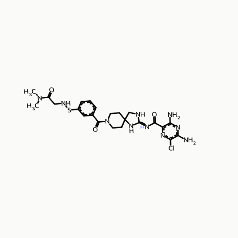 CN(C)C(=O)CNSc1cccc(C(=O)N2CCC3(CC2)CN/C(=N\C(=O)c2nc(Cl)c(N)nc2N)N3)c1